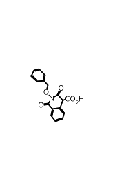 O=C(O)C1C(=O)N(OCc2ccccc2)C(=O)c2ccccc21